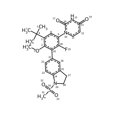 COc1c(C(C)(C)C)cc(-n2ccc(=O)[nH]c2=O)c(F)c1-c1ccc2c(c1)CCN2S(C)(=O)=O